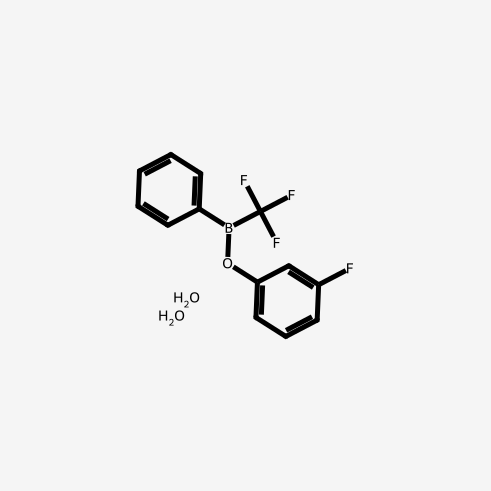 Fc1cccc(OB(c2ccccc2)C(F)(F)F)c1.O.O